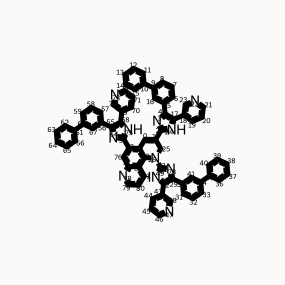 C1=C(c2nc(-c3cccc(-c4ccccc4)c3)c(-c3cccnc3)[nH]2)CN(c2nc(-c3cccc(-c4ccccc4)c3)c(-c3cccnc3)[nH]2)c2c1c(-c1nc(-c3cccc(-c4ccccc4)c3)c(-c3cccnc3)[nH]1)cc1ncccc21